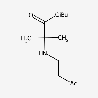 CC(=O)CCNC(C)(C)C(=O)OCC(C)C